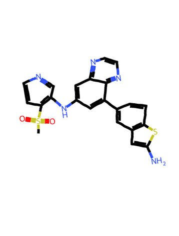 CS(=O)(=O)c1ccncc1Nc1cc(-c2ccc3sc(N)cc3c2)c2nccnc2c1